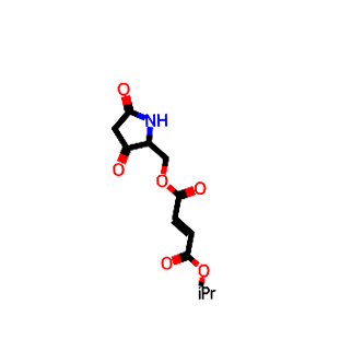 CC(C)OC(=O)/C=C/C(=O)OCC1NC(=O)CC1=O